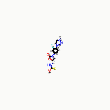 COC(=S)NC[C@H]1CN(c2ccc(N3C=NN(C)CC3)c(F)c2)C(=O)O1